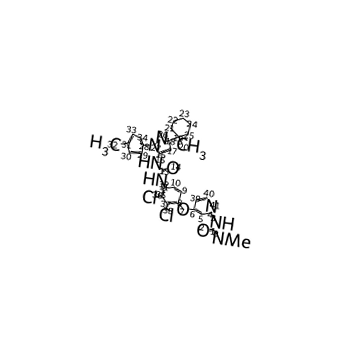 CNC(=O)Nc1cc(Oc2ccc(NC(=O)Nc3cc(C4(C)CCCCC4)nn3-c3ccc(C)cc3)c(Cl)c2Cl)ccn1